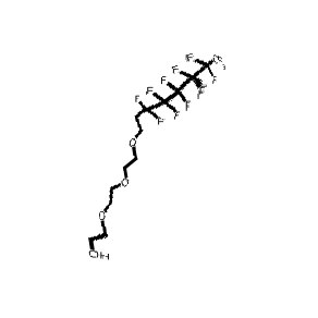 OCCOCCOCCOCCC(F)(F)C(F)(F)C(F)(F)C(F)(F)C(F)(F)C(F)(F)F